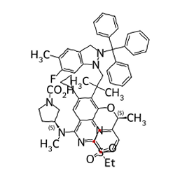 CCS(=O)(=O)c1nc(N(C)[C@H]2CCN(C(=O)O)C2)c2cc(C3CC3)c(C(C)(C)CN3c4cc(F)c(C)cc4CN3C(c3ccccc3)(c3ccccc3)c3ccccc3)c(O[C@@H](C)c3ccccc3)c2n1